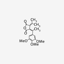 COc1cc(C(C)=C2C(=O)OC(=O)C2=C(C)C)cc(OC)c1OC